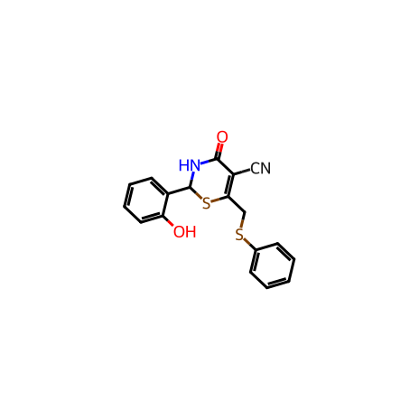 N#CC1=C(CSc2ccccc2)SC(c2ccccc2O)NC1=O